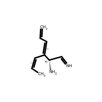 C=C/C=C(\C=C/C)[C@@H](N)C=N